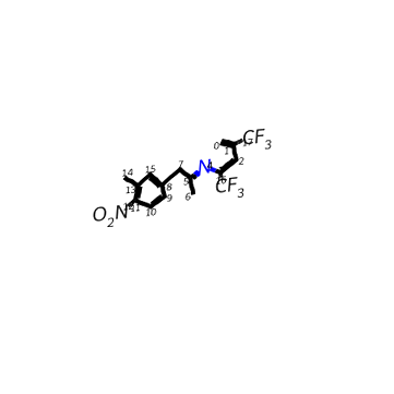 C=C(/C=C(\N=C(/C)Cc1ccc([N+](=O)[O-])c(C)c1)C(F)(F)F)C(F)(F)F